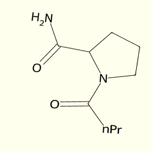 CCCC(=O)N1CCCC1C(N)=O